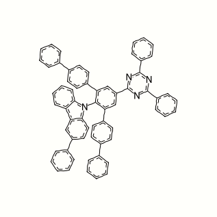 c1ccc(-c2ccc(-c3cc(-c4nc(-c5ccccc5)nc(-c5ccccc5)n4)cc(-c4ccc(-c5ccccc5)cc4)c3-n3c4ccccc4c4cc(-c5ccccc5)ccc43)cc2)cc1